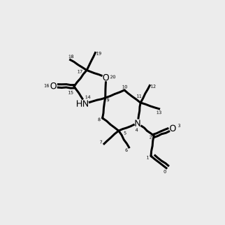 C=CC(=O)N1C(C)(C)CC2(CC1(C)C)NC(=O)C(C)(C)O2